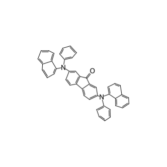 O=C1c2cc(N(c3ccccc3)c3cccc4ccccc34)ccc2-c2ccc(N(c3ccccc3)c3cccc4ccccc34)cc21